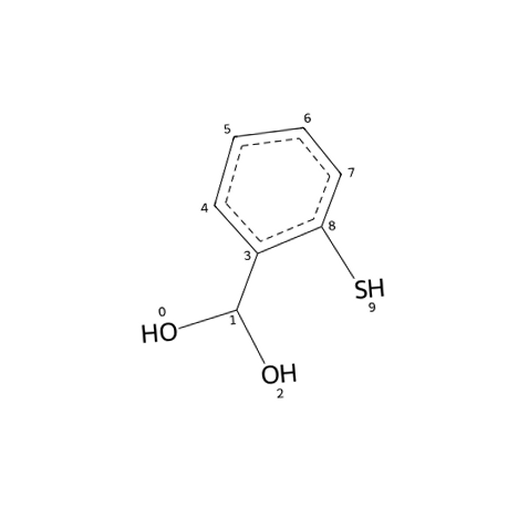 OC(O)c1ccccc1S